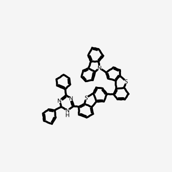 C1=CC(C2=NC(c3ccccc3)NC(c3cccc4c3sc3ccc(C5=C6c7cc(-n8c9ccccc9c9ccccc98)ccc7SC6CC=C5)cc34)=N2)=CCC1